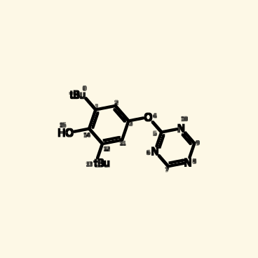 CC(C)(C)c1cc(Oc2ncncn2)cc(C(C)(C)C)c1O